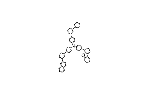 c1ccc(-c2cccc(-c3ccc(N(c4ccc(-c5cccc(-c6ccc7ccccc7c6)c5)cc4)c4ccc(-c5cccc6c5oc5ccccc56)cc4)cc3)c2)cc1